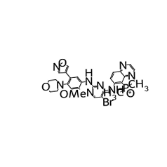 COc1cc(N2CCOCC2)c(-c2cnoc2)cc1Nc1ncc(Br)c(Nc2ccc3nccnc3c2P(C)(C)=O)n1